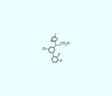 Cc1cnc(C(CC(=O)O)c2cc(Cl)cc(-c3cccc(F)c3F)c2)s1